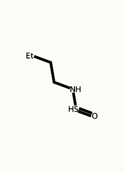 CCCCN[SH]=O